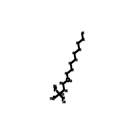 CCCCCCCCCOCCC(F)(F)F